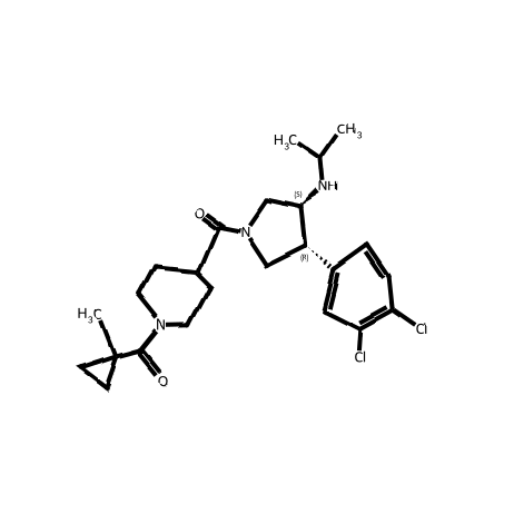 CC(C)N[C@@H]1CN(C(=O)C2CCN(C(=O)C3(C)CC3)CC2)C[C@H]1c1ccc(Cl)c(Cl)c1